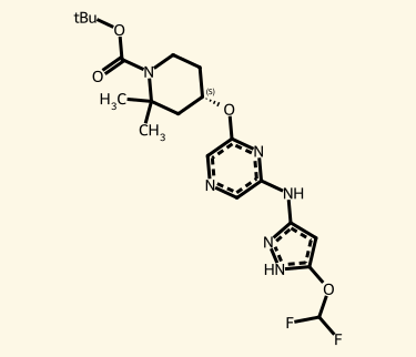 CC(C)(C)OC(=O)N1CC[C@H](Oc2cncc(Nc3cc(OC(F)F)[nH]n3)n2)CC1(C)C